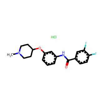 CN1CCC(Oc2cccc(NC(=O)c3ccc(F)c(F)c3)c2)CC1.Cl